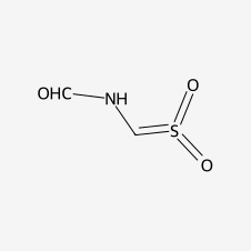 O=CNC=S(=O)=O